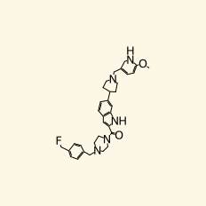 COC1=CC=C(CN2CCC(c3ccc4cc(C(=O)N5CCN(Cc6ccc(CF)cc6)CC5)[nH]c4c3)CC2)CN1